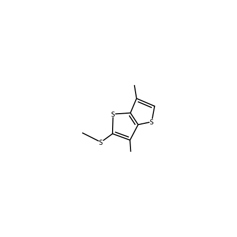 CSc1sc2c(C)csc2c1C